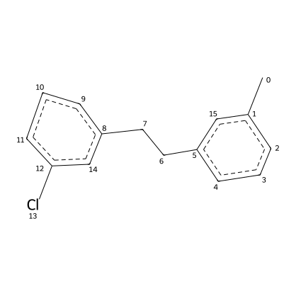 Cc1cccc(CCc2cccc(Cl)c2)c1